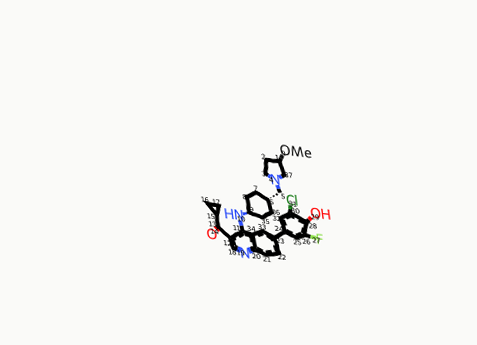 COC1CCN(C[C@H]2CC[C@H](Nc3c(C(=O)C4CC4)cnc4ccc(-c5cc(F)c(O)c(Cl)c5)cc34)CC2)C1